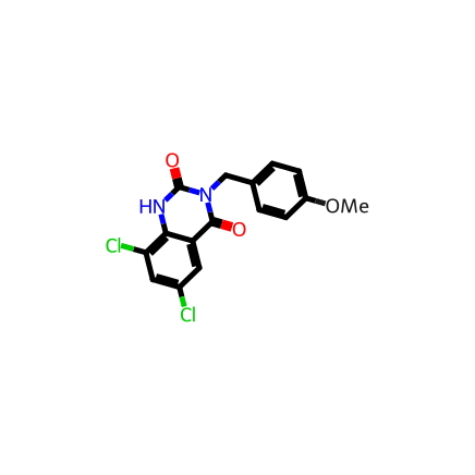 COc1ccc(Cn2c(=O)[nH]c3c(Cl)cc(Cl)cc3c2=O)cc1